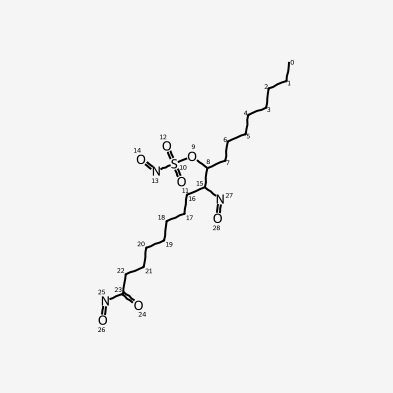 CCCCCCCCC(OS(=O)(=O)N=O)C(CCCCCCCC(=O)N=O)N=O